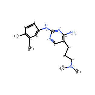 Cc1ccc(Nc2ncc(CCCN(C)C)c(N)n2)cc1C